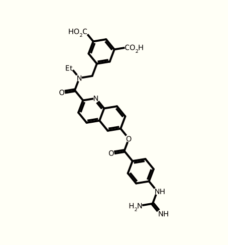 CCN(Cc1cc(C(=O)O)cc(C(=O)O)c1)C(=O)c1ccc2cc(OC(=O)c3ccc(NC(=N)N)cc3)ccc2n1